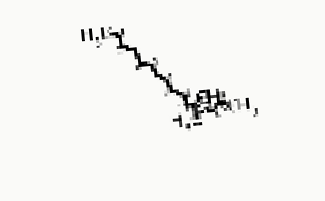 CCCCCCCCCCC[N+](C)(C)CCC